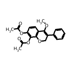 COC1=C(c2ccccc2)COc2c1ccc(OC(C)=O)c2OC(C)=O